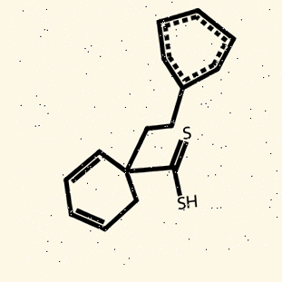 S=C(S)C1(CCc2ccccc2)C=CC=CC1